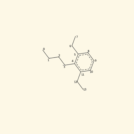 CCC[CH]c1c(CC)cccc1CC